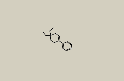 CCC1(CC)CC=C(c2cc[c]cc2)CC1